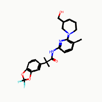 Cc1ccc(NC(=O)C(C)(C)c2ccc3c(c2)OC(F)(F)O3)nc1N1CCCC(CO)C1